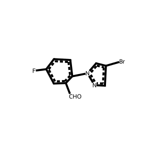 O=Cc1cc(F)ccc1-n1cc(Br)cn1